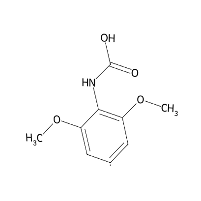 COc1c[c]cc(OC)c1NC(=O)O